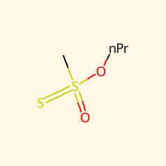 CCCOS(C)(=O)=S